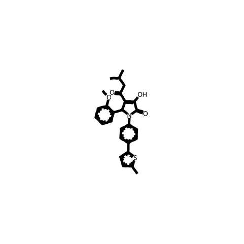 COc1ccccc1C1C(C(=O)CC(C)C)=C(O)C(=O)N1c1ccc(-c2ccc(C)s2)cc1